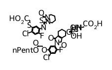 CCCCCOC(=O)COc1cc(N2C(=O)C3=C(CCCC3)C2=O)c(F)cc1Cl.O=C(O)CNCP(=O)(O)O.O=C(O)CSc1cc(N=c2sc(=O)n3n2CCCC3)c(F)cc1Cl